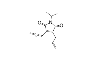 C=C=CC1=C(CC=C)C(=O)N(C(C)C)C1=O